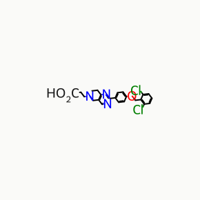 O=C(O)CCN1CCc2nc(-c3ccc(OCc4c(Cl)cccc4Cl)cc3)ncc2C1